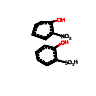 O=S(=O)(O)c1ccccc1O.O=[N+]([O-])c1ccccc1O